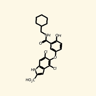 O=C(O)c1cc2c(Cl)c(Oc3ccc(O)c(C(=O)NCC4CCCCC4)c3)c(Cl)cc2[nH]1